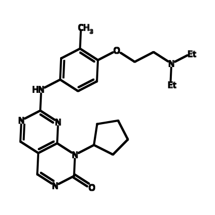 CCN(CC)CCOc1ccc(Nc2ncc3cnc(=O)n(C4CCCC4)c3n2)cc1C